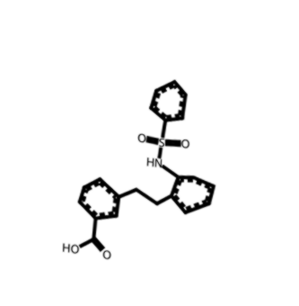 O=C(O)c1cccc(CCc2ccccc2NS(=O)(=O)c2ccccc2)c1